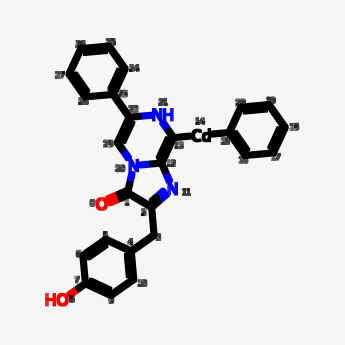 O=c1c(Cc2ccc(O)cc2)nc2[c]([Cd][c]3ccccc3)[nH]c(-c3ccccc3)cn1-2